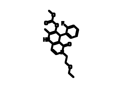 CCOCCn1ccc2c(c1=O)C(c1ccccc1F)C(OC(=O)OC)=C(C)N2